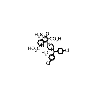 C[C@@H]1CN(c2c(C(=O)O)c(=O)n(C)c3ccc(C(=O)O)nc23)CCN1C(c1ccc(Cl)cc1)c1ccc(Cl)cc1